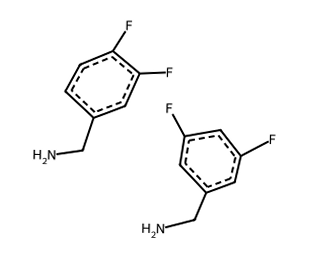 NCc1cc(F)cc(F)c1.NCc1ccc(F)c(F)c1